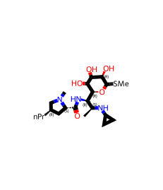 CCC[C@@H]1C[C@@H](C(=O)N[C@H]([C@H](C)NC2CC2)[C@H]2OC(SC)[C@H](O)C(O)C2O)N(C)C1